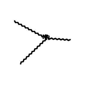 CCCCCCCCCCCCCCCCCCCc1n(CCCCCCCCCCCC)cc[n+]1CCCCCCCCCCCCCCCCCC